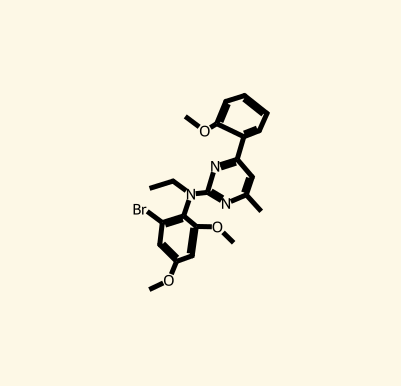 CCN(c1nc(C)cc(-c2ccccc2OC)n1)c1c(Br)cc(OC)cc1OC